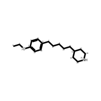 CCOc1ccc(CCCCCC2[CH]CNCC2)cc1